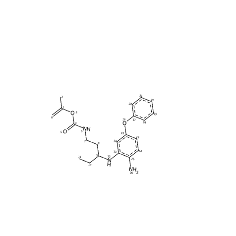 C=C(C)OC(=O)NCCC(CC)Nc1cc(Oc2ccccc2)ccc1N